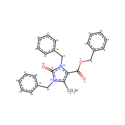 O=C(O)c1c(C(=O)OCc2ccccc2)n(Cc2ccccc2)c(=O)n1Cc1ccccc1